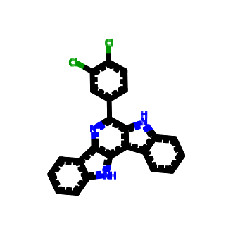 Clc1ccc(-c2nc3c4ccccc4[nH]c3c3c2[nH]c2ccccc23)cc1Cl